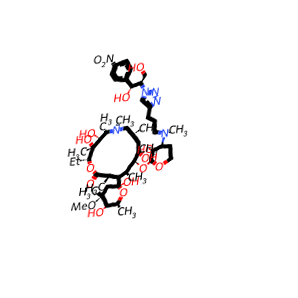 CC[C@H]1OC(=O)[C@H](C)C([C@]2(O)C[C@@](C)(OC)[C@@H](O)[C@H](C)O2)[C@H](C)[C@@H](O[C@@H]2OCC[C@H](N(C)CCCc3cn([C@H](CO)[C@H](O)c4ccc([N+](=O)[O-])cc4)nn3)[C@H]2O)[C@](C)(O)C[C@@H](C)CN(C)[C@H](C)[C@@H](O)[C@]1(C)O